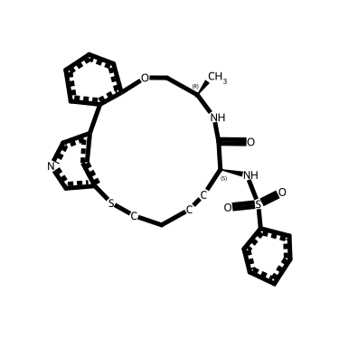 C[C@@H]1COc2ccccc2-c2cncc(c2)SCCCC[C@H](NS(=O)(=O)c2ccccc2)C(=O)N1